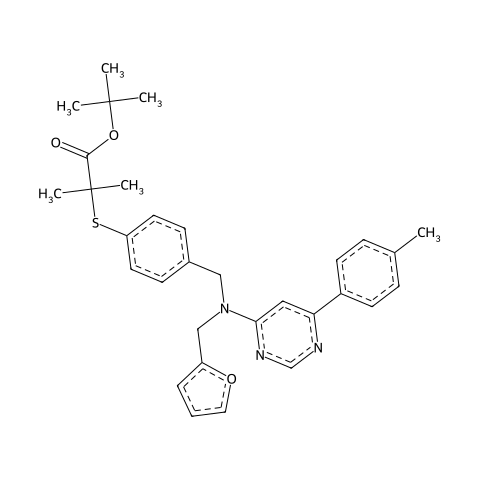 Cc1ccc(-c2cc(N(Cc3ccc(SC(C)(C)C(=O)OC(C)(C)C)cc3)Cc3ccco3)ncn2)cc1